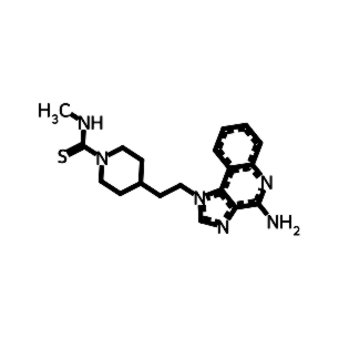 CNC(=S)N1CCC(CCn2cnc3c(N)nc4ccccc4c32)CC1